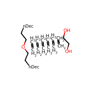 C=C.C=C.C=C.C=C.C=C.C=C.CCCCCCCCCCCCOCCCCCCCCCCCC.OCCO